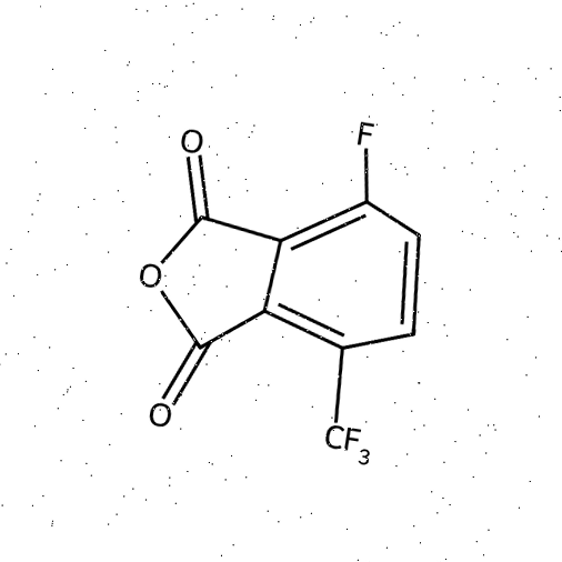 O=C1OC(=O)c2c(C(F)(F)F)ccc(F)c21